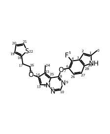 Cc1cc2c(F)c(Oc3ncnn4cc(OCCc5cccs5)c(C)c34)ccc2[nH]1